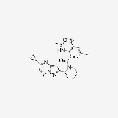 Cc1cc(C2CC2)nc2cc([C@@H]3CCCCN3C(=O)c3cc(F)cc(Br)c3N[S+](C)[O-])nn12